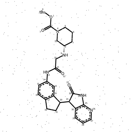 CC(C)(C)OC(=O)N1CCC[C@H](NCC(=O)Nc2ccc3c(c2)C(C2C(=O)Nc4ncccc42)CC3)C1